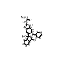 COC(=O)Nc1nc2cc(C3(O)c4ccccc4C(=O)N3Cc3cccnc3)ccc2[nH]1